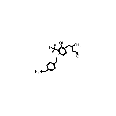 CC(CC=O)Cc1ccc(OCc2ccc(CN)cc2)c(C(F)(F)F)c1O